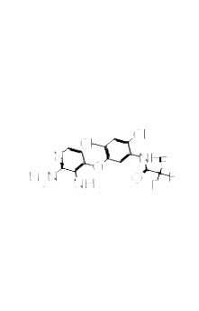 Nc1nccc(Oc2cc(NC(=O)C(F)(F)F)c(Cl)cc2Cl)c1N